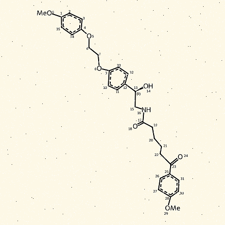 COc1ccc(OCCOc2ccc([C@@H](O)CNC(=O)CCCCC(=O)c3ccc(OC)cc3)cc2)cc1